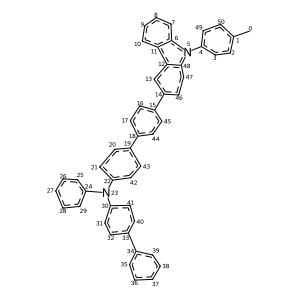 Cc1ccc(-n2c3ccccc3c3cc(-c4ccc(-c5ccc(N(c6ccccc6)c6ccc(-c7ccccc7)cc6)cc5)cc4)ccc32)cc1